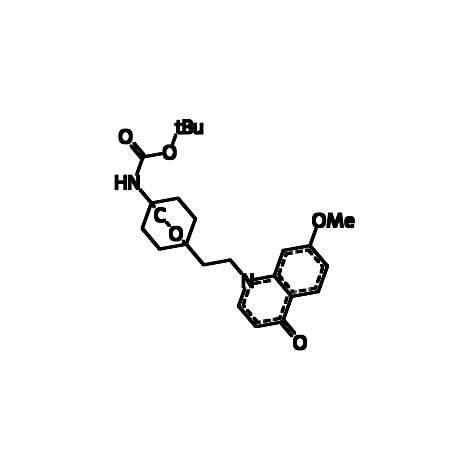 COc1ccc2c(=O)ccn(CCC34CCC(NC(=O)OC(C)(C)C)(CC3)CO4)c2c1